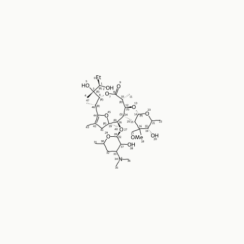 CC[C@@H](O)[C@@](C)(O)[C@@H]1OC(=O)[C@H](C)[C@@H](O[C@H]2CC(C)(OC)[C@@H](O)C(C)O2)[C@H](C)[C@@H](O[C@@H]2OC(C)CC(N(C)C)C2O)[C@@]2(C)CC(C)=C(O2)[C@@H]1C